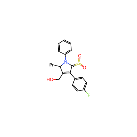 CC(C)C1C(CO)=C(c2ccc(F)cc2)C(=S(=O)=O)N1c1ccccc1